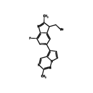 CC1=Nc2c(F)cc(-c3ccn4nc(C)ncc34)cc2C1CC(C)C